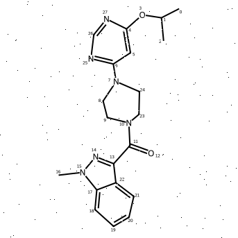 CC(C)Oc1cc(N2CCN(C(=O)c3nn(C)c4ccccc34)CC2)ncn1